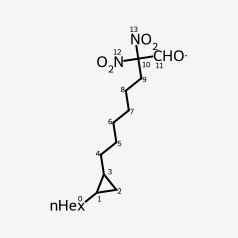 CCCCCCC1CC1CCCCCCC([C]=O)([N+](=O)[O-])[N+](=O)[O-]